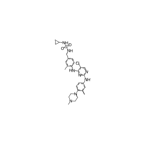 Cc1cc(CNS(=O)(=O)NC2CC2)ccc1Nc1nc(Nc2ccc(N3CCN(C)CC3)c(C)c2)ncc1Cl